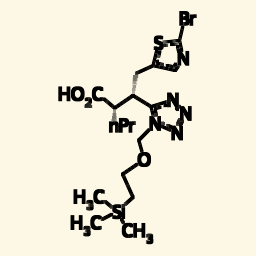 CCC[C@H](C(=O)O)[C@H](Cc1cnc(Br)s1)c1nnnn1COCC[Si](C)(C)C